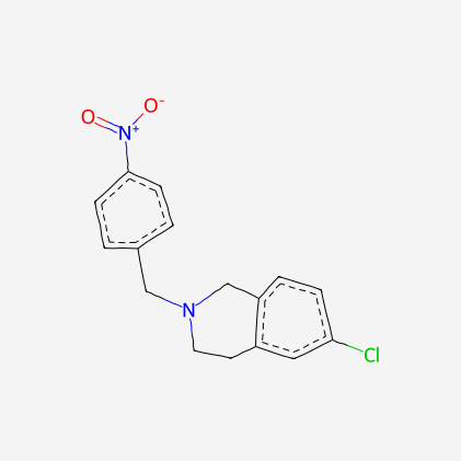 O=[N+]([O-])c1ccc(CN2CCc3cc(Cl)ccc3C2)cc1